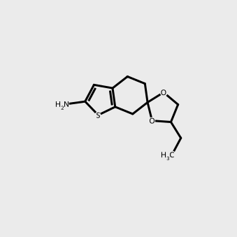 CCC1COC2(CCc3cc(N)sc3C2)O1